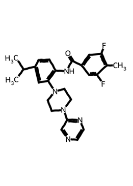 Cc1c(F)cc(C(=O)Nc2ccc(C(C)C)cc2N2CCN(c3cnccn3)CC2)cc1F